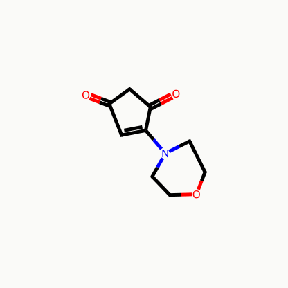 O=C1C=C(N2CCOCC2)C(=O)C1